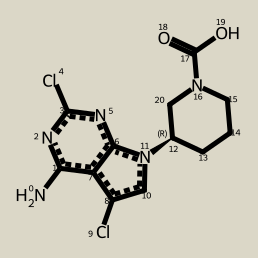 Nc1nc(Cl)nc2c1c(Cl)cn2[C@@H]1CCCN(C(=O)O)C1